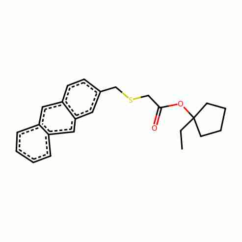 CCC1(OC(=O)CSCc2ccc3cc4ccccc4cc3c2)CCCC1